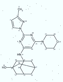 Cc1ccn(-c2nc(NC34CC5CC(CC(O)(C5)C3)C4)cc(N3CCOCC3)n2)n1